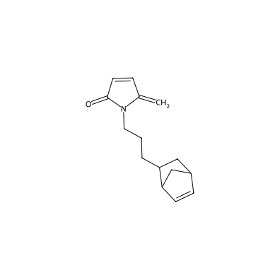 C=C1C=CC(=O)N1CCCC1CC2C=CC1C2